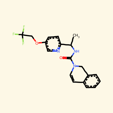 CC(NC(=O)N1C=Cc2ccccc2C1)c1ccc(OCC(F)(F)F)cn1